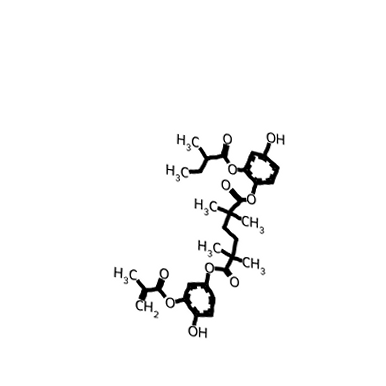 C=C(C)C(=O)Oc1cc(OC(=O)C(C)(C)CCC(C)(C)C(=O)Oc2ccc(O)cc2OC(=O)C(C)CC)ccc1O